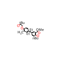 CCCCOc1ccc(C(CC)(CC)c2ccc(OCC(=O)C(C)(C)C)c(C)c2)cc1C(=O)OC